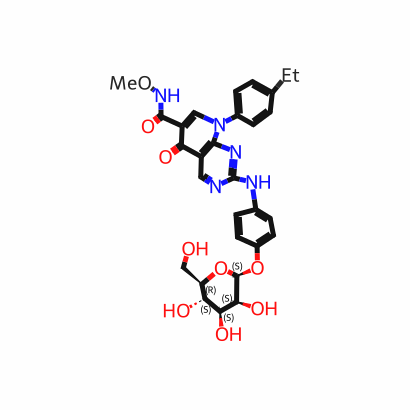 CCc1ccc(-n2cc(C(=O)NOC)c(=O)c3cnc(Nc4ccc(O[C@@H]5O[C@H](CO)[C@@H](O)[C@H](O)[C@@H]5O)cc4)nc32)cc1